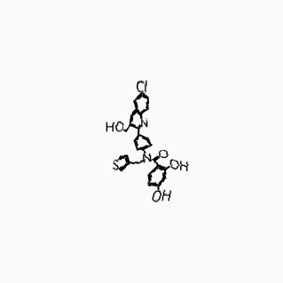 O=C(c1ccc(O)cc1O)N(Cc1ccsc1)c1ccc(-c2nc3ccc(Cl)cc3cc2CO)cc1